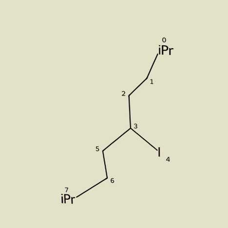 CC(C)CCC(I)CCC(C)C